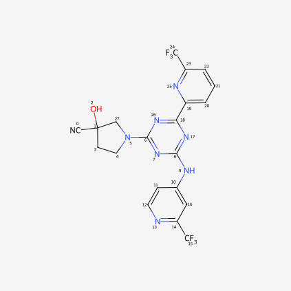 N#CC1(O)CCN(c2nc(Nc3ccnc(C(F)(F)F)c3)nc(-c3cccc(C(F)(F)F)n3)n2)C1